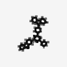 c1ccc(-c2nc(-c3ccc(-n4c5ccccc5c5ccccc54)cc3)nc(-c3ccc4c(c3)oc3ccccc34)n2)cc1